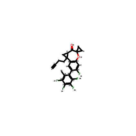 C#CCCC12CC1C(=O)C1(CC1)Oc1cc(F)c(-c3c(C)c(F)c(F)c(F)c3F)cc12